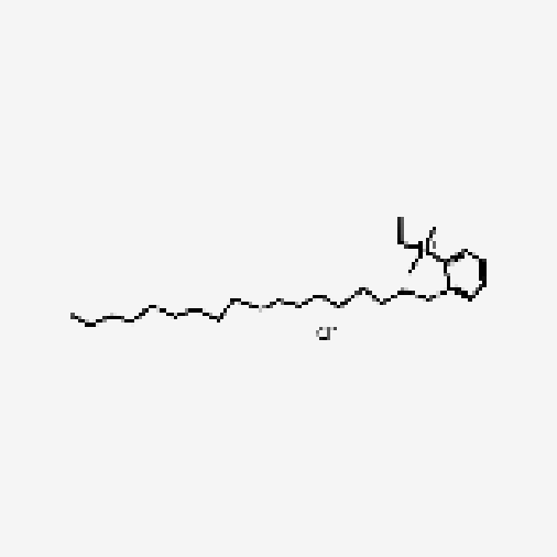 C=C[N+](C)(C)c1ccccc1CCCCCCCCCCCCCCCCCC.[Cl-]